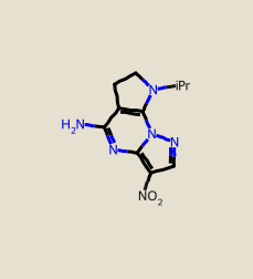 CC(C)N1CCc2c(N)nc3c([N+](=O)[O-])cnn3c21